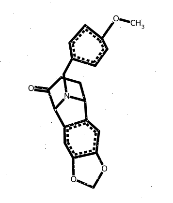 COc1ccc(CN2C3CCC(=O)C2c2cc4c(cc23)OCO4)cc1